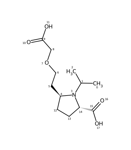 CC(C)N1[C@H](CCOCC(=O)O)CC[C@H]1C(=O)O